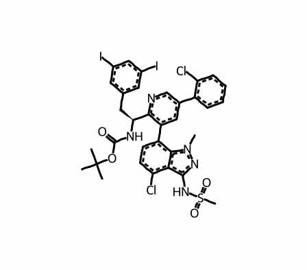 Cn1nc(NS(C)(=O)=O)c2c(Cl)ccc(-c3cc(-c4ccccc4Cl)cnc3[C@H](Cc3cc(I)cc(I)c3)NC(=O)OC(C)(C)C)c21